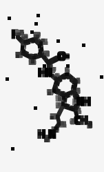 Cc1[nH]c2ccc(NC(=O)c3ccc(F)cc3)cc2c1CCN